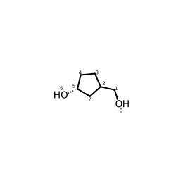 OCC1CC[C@@H](O)C1